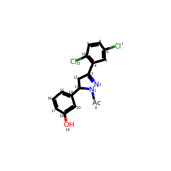 CC(=O)N1N=C(c2cc(Cl)ccc2Cl)CC1c1cccc(O)c1